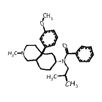 COc1cccc(C23CCN(C)CC2CC[C@@H](N(CC(C)C)C(=O)c2ccccc2)C3)c1